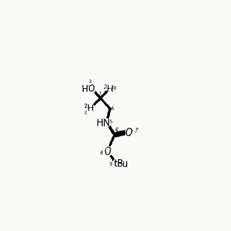 [2H]C([2H])(O)CNC(=O)OC(C)(C)C